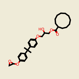 CC(C)(c1ccc(OCC(O)COC(=O)C2CCCCCCCCCC2)cc1)c1ccc(OC2CO2)cc1